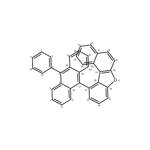 c1ccc(-c2c3ccccc3c(-c3cccc4oc5ccc6ccccc6c5c34)c3ccccc23)cc1